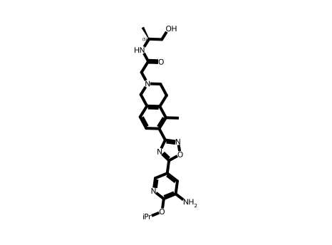 Cc1c(-c2noc(-c3cnc(OC(C)C)c(N)c3)n2)ccc2c1CCN(CC(=O)N[C@@H](C)CO)C2